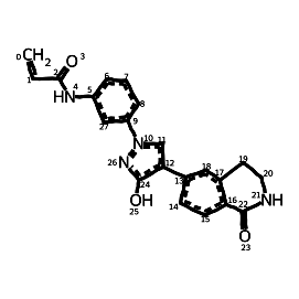 C=CC(=O)Nc1cccc(-n2cc(-c3ccc4c(c3)CCNC4=O)c(O)n2)c1